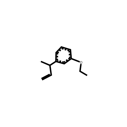 [CH2]C(C=C)c1cccc(OCC)c1